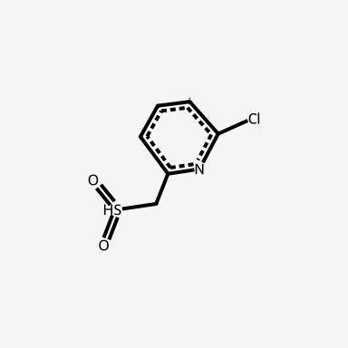 O=[SH](=O)Cc1cc[c]c(Cl)n1